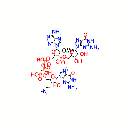 CO[C@H]1[C@H](n2cnc3c(N)ncnc32)OC(COP(=O)(O)OP(=O)(O)CP(=O)(O)OC[C@H]2OC(n3c[n+](C)c4c(=O)[nH]c(N)nc43)[C@H](O)[C@@H]2CCN(C)C)[C@H]1P(=O)([O-])OC[C@H]1O[C@@H](n2cnc3c(=O)[nH]c(N)nc32)[C@H](O)[C@@H]1O